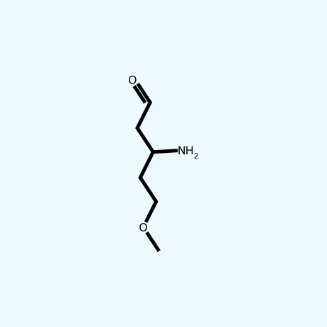 COCCC(N)CC=O